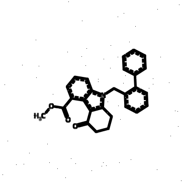 COC(=O)c1cccc2c1c1c(n2Cc2ccccc2-c2ccccc2)CCCC1=O